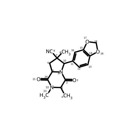 CC1C(=O)N2C(CC(C)(C#N)C2c2ccc3c(c2)OCO3)C(=O)N1C